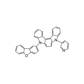 c1cncc(-n2c3ccccc3c3c4c5ccccc5n(-c5ccc6oc7ccccc7c6c5)c4ccc32)c1